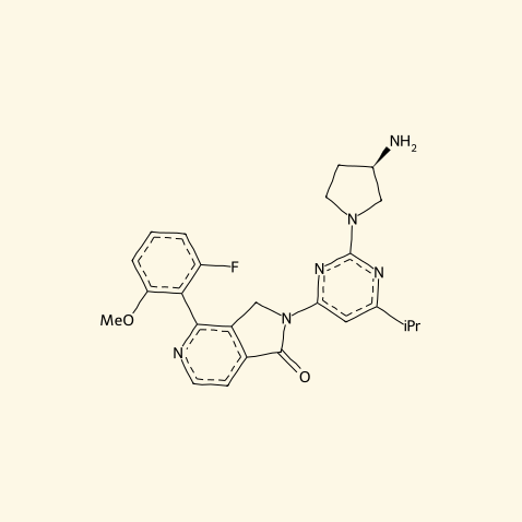 COc1cccc(F)c1-c1nccc2c1CN(c1cc(C(C)C)nc(N3CC[C@@H](N)C3)n1)C2=O